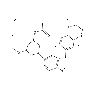 COC1CC(OC(C)=O)CC(c2ccc(Cl)c(Cc3ccc4c(c3)OCCO4)c2)O1